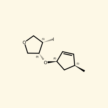 C[C@@H]1C=C[C@H](O[C@@H]2COC[C@@H]2I)C1